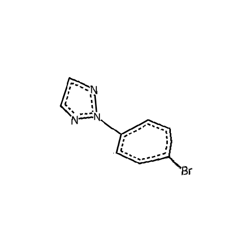 Brc1c[c]c(-n2nccn2)cc1